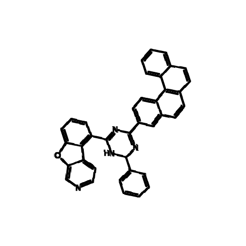 c1ccc(C2N=C(c3ccc4c(ccc5ccc6ccccc6c54)c3)N=C(c3cccc4oc5cnccc5c34)N2)cc1